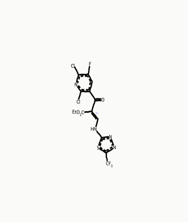 CCOC(=O)/C(=C\Nc1nnc(C(F)(F)F)s1)C(=O)c1cc(F)c(Cl)nc1Cl